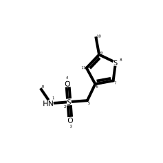 CNS(=O)(=O)Cc1csc(C)c1